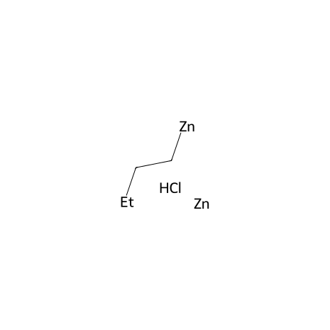 CCC[CH2][Zn].Cl.[Zn]